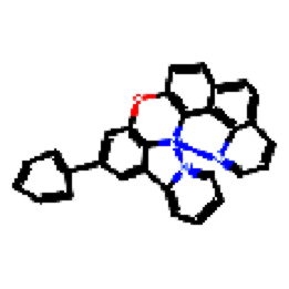 c1ccc(-c2cc3c4c(c2)-c2cccc[n+]2[N+]42c4c(ccc5ccc6ccc[n+]2c6c45)O3)cc1